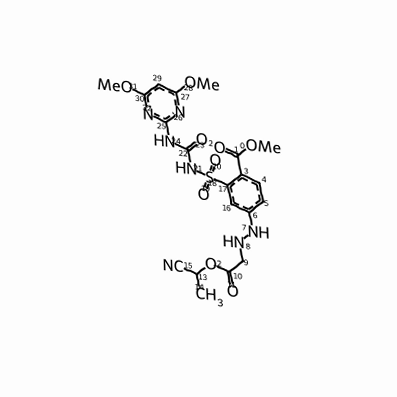 COC(=O)c1ccc(NNCC(=O)OC(C)C#N)cc1S(=O)(=O)NC(=O)Nc1nc(OC)cc(OC)n1